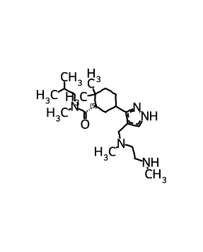 CNCCN(C)Cc1c[nH]nc1C1CCC(C)(C)[C@@H](C(=O)N(C)CC(C)C)C1